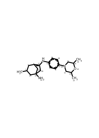 CC1CC2=C(Nc3ccc(N4CC(C)OC(C)C4)cc3)CC(N)(C2)C1